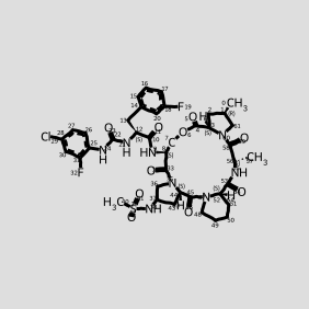 C[C@@H]1C[C@H]2C(=O)OC[C@H](NC(=O)[C@H](Cc3cccc(F)c3)NC(=O)Nc3ccc(Cl)cc3F)C(=O)N3CC(NS(C)(=O)=O)C[C@H]3C(=O)N3CCCC[C@H]3C(=O)N[C@@H](C)C(=O)N2C1